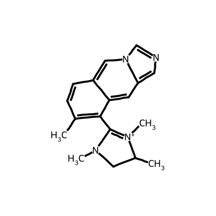 Cc1ccc2cn3cncc3cc2c1C1=[N+](C)C(C)CN1C